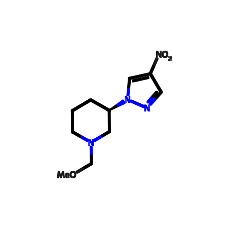 COCN1CCC[C@@H](n2cc([N+](=O)[O-])cn2)C1